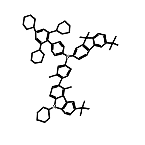 Cc1cc(N(c2ccc(-c3c(C4CCCCC4)cc(C4CCCCC4)cc3C3CCCCC3)cc2)c2ccc3c(c2)C(C)(C)c2ccc(C(C)(C)C)cc2-3)ccc1-c1ccc2c(c1C)c1cc(C(C)(C)C)ccc1n2C1CCCCC1